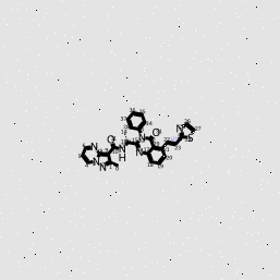 Cc1nn2cccnc2c1C(=O)N[C@H](C)c1nc2cccc(/C=C/c3nccs3)c2c(=O)n1-c1ccccc1